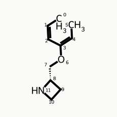 C/C=C\C(=C/C)OC[C@@H]1CCN1